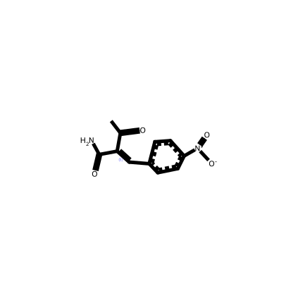 CC(=O)/C(=C\c1ccc([N+](=O)[O-])cc1)C(N)=O